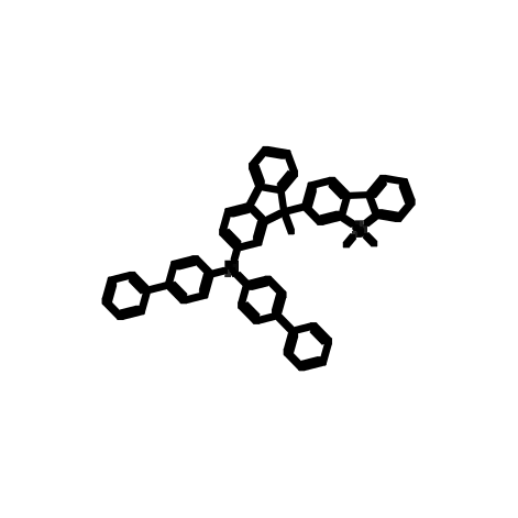 CC1(c2ccc3c(c2)[Si](C)(C)c2ccccc2-3)c2ccccc2-c2ccc(N(c3ccc(-c4ccccc4)cc3)c3ccc(-c4ccccc4)cc3)cc21